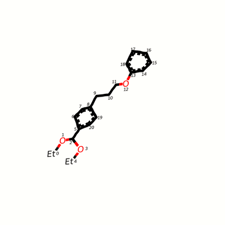 CCOC(OCC)c1ccc(CCCOc2ccccc2)cc1